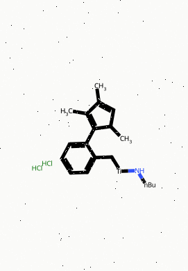 CCCC[NH][Ti][CH2]c1ccccc1C1=C(C)C(C)=CC1C.Cl.Cl